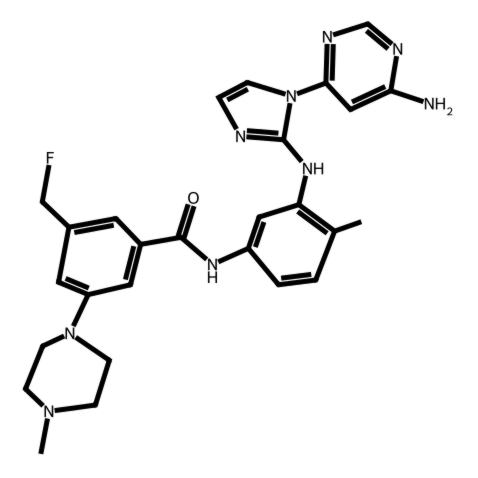 Cc1ccc(NC(=O)c2cc(CF)cc(N3CCN(C)CC3)c2)cc1Nc1nccn1-c1cc(N)ncn1